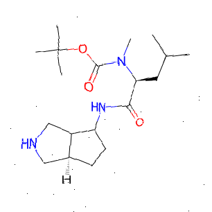 CC(C)C[C@@H](C(=O)NC1CC[C@H]2CNCC12)N(C)C(=O)OC(C)(C)C